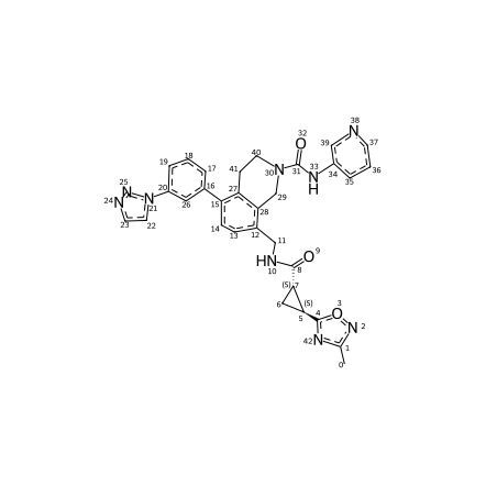 Cc1noc([C@H]2C[C@@H]2C(=O)NCc2ccc(-c3cccc(-n4ccnn4)c3)c3c2CN(C(=O)Nc2cccnc2)CC3)n1